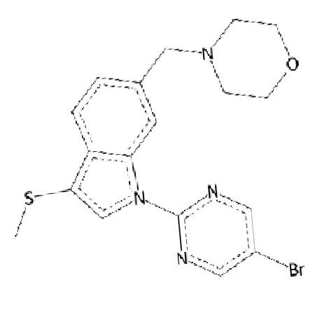 CSc1cn(-c2ncc(Br)cn2)c2cc(CN3CCOCC3)ccc12